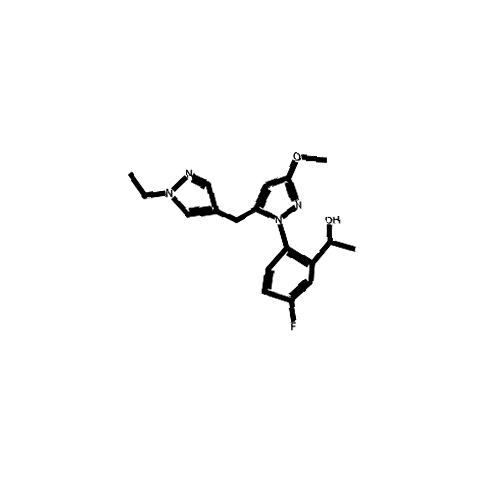 CCn1cc(Cc2cc(OC)nn2-c2ccc(F)cc2C(C)O)cn1